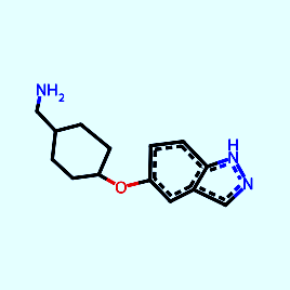 NCC1CCC(Oc2ccc3[nH]ncc3c2)CC1